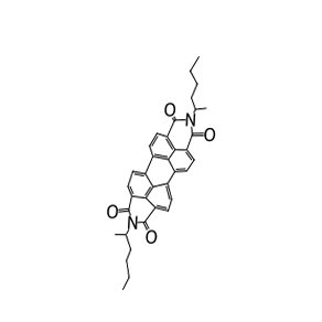 CCCCC(C)N1C(=O)c2ccc3c4ccc5c6c(ccc(c7ccc(c2c37)C1=O)c64)C(=O)N(C(C)CCCC)C5=O